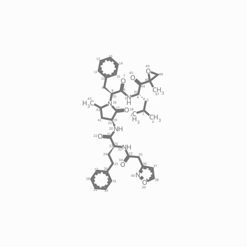 CC(C)C[C@H](NC(=O)[C@H](Cc1ccccc1)N1C(=O)[C@@H](NC(=O)[C@H](CCc2ccccc2)NC(=O)Cc2ccon2)CC1C)C(=O)C1(C)CO1